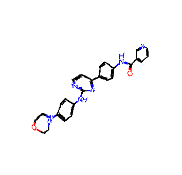 O=C(Nc1ccc(-c2ccnc(Nc3ccc(N4CCOCC4)cc3)n2)cc1)c1cccnc1